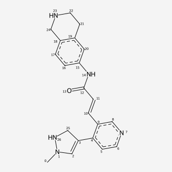 CN1C=C(c2ccncc2/C=C/C(=O)Nc2ccc3c(c2)CCNC3)CN1